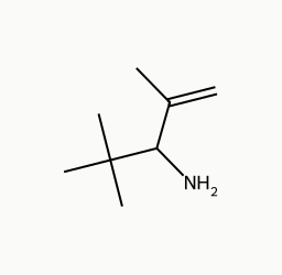 C=C(C)C(N)C(C)(C)C